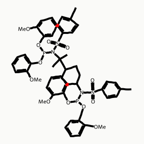 COc1ccccc1OP(Oc1ccccc1OC)N(C1CCC(C(C)(C)N(P(Oc2ccccc2OC)Oc2ccccc2OC)S(=O)(=O)c2ccc(C)cc2)CC1)S(=O)(=O)c1ccc(C)cc1